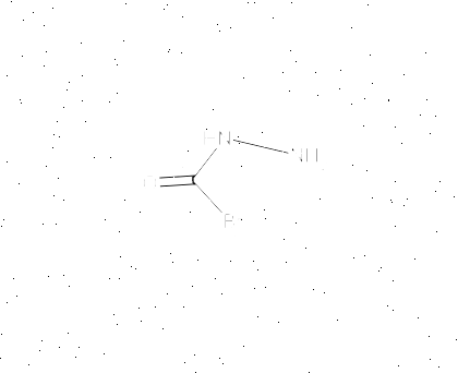 NNC(=O)Br